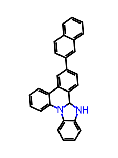 c1ccc2c(c1)NC1c3ccc(-c4ccc5ccccc5c4)cc3-c3ccccc3N21